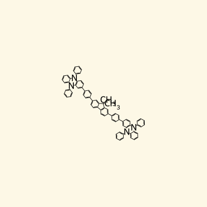 CC1(C)c2cc(-c3ccc(-c4ccc5c(c4)N(c4ccccc4)c4ccccc4N5c4ccccc4)cc3)ccc2-c2ccc(-c3ccc(-c4ccc5c(c4)N(c4ccccc4)c4ccccc4N5c4ccccc4)cc3)cc21